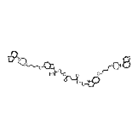 N=C(OCOC(=O)CCC(=O)OCOc1ccc2ccc(OCCCCN3CCN(c4cccc5sccc45)CC3)cc2n1)C1Cc2ccc(OCCCCN3CCN(c4cccc5sccc45)CC3)cc21